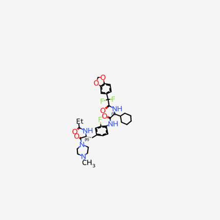 CCC(=O)N[C@H](Cc1ccc(NC(=O)[C@@H](NC(=O)C(F)(F)c2ccc3c(c2)OCO3)C2CCCCC2)c(F)c1)C(=O)N1CCN(C)CC1